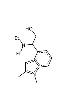 CCN(CC)C(CO)c1cccc2c1cc(C)n2C